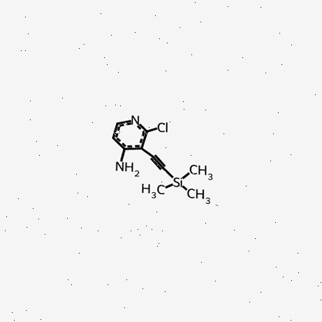 C[Si](C)(C)C#Cc1c(N)ccnc1Cl